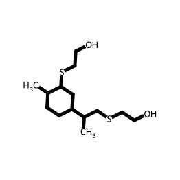 CC(CSCCO)C1CCC(C)C(SCCO)C1